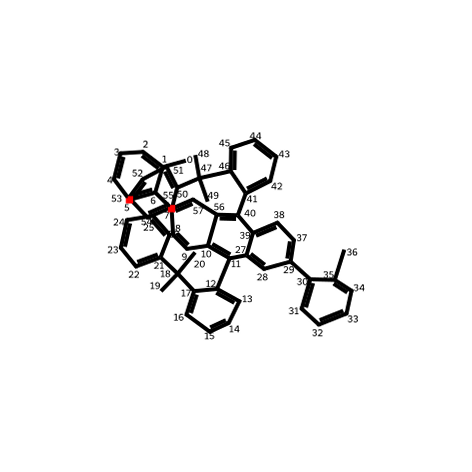 Cc1ccccc1-c1ccc2c(-c3ccccc3C(C)(C)c3ccccc3)c3cc(-c4ccccc4C)ccc3c(-c3ccccc3C(C)(C)c3ccccc3)c2c1